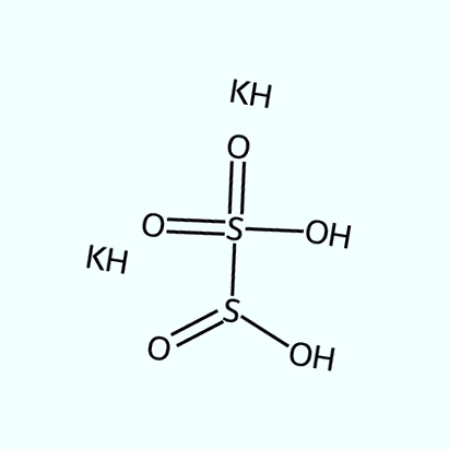 O=S(O)S(=O)(=O)O.[KH].[KH]